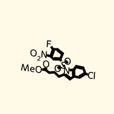 COC(=O)CCCc1cc2cc(Cl)ccc2n1S(=O)(=O)c1ccc(F)c([N+](=O)[O-])c1